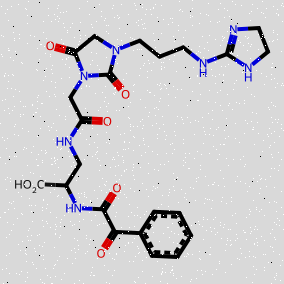 O=C(CN1C(=O)CN(CCCNC2=NCCN2)C1=O)NCC(NC(=O)C(=O)c1ccccc1)C(=O)O